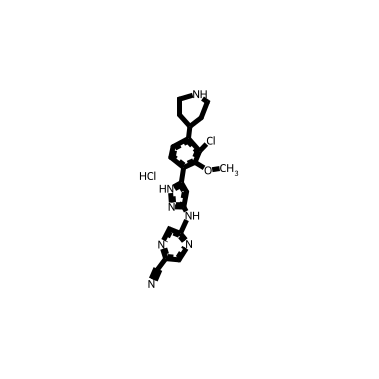 COc1c(-c2cc(Nc3cnc(C#N)cn3)n[nH]2)ccc(C2CCNCC2)c1Cl.Cl